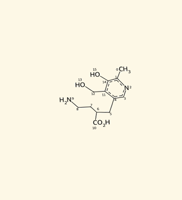 Cc1ncc(CC(CCN)C(=O)O)c(CO)c1O